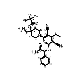 CCc1c(C#N)c(SC(C(N)=O)c2ccccc2)nc(N2CCC(CN)(OC(=O)C(F)(F)F)CC2)c1C#N